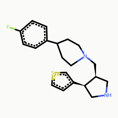 Fc1ccc(C2CCN(C[C@H]3CNC[C@H]3c3ccsc3)CC2)cc1